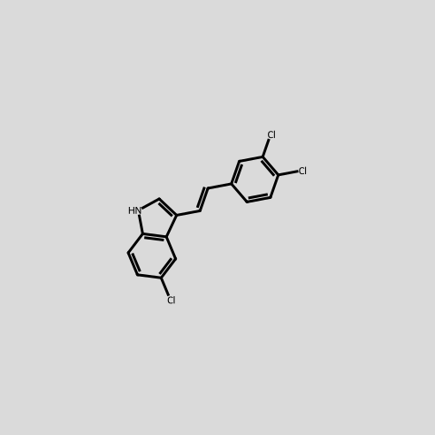 Clc1ccc2[nH]cc(/C=C/c3ccc(Cl)c(Cl)c3)c2c1